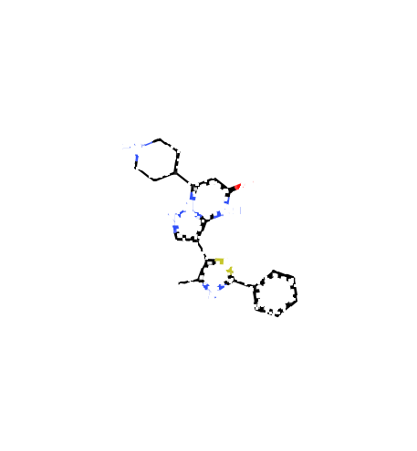 Cc1nc(-c2ccccc2)sc1-c1cnn2c(C3CCNCC3)cc(=O)[nH]c12